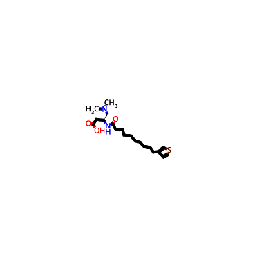 CN(C)C[C@@H](CC(=O)O)NC(=O)CCCCCCCCCc1ccsc1